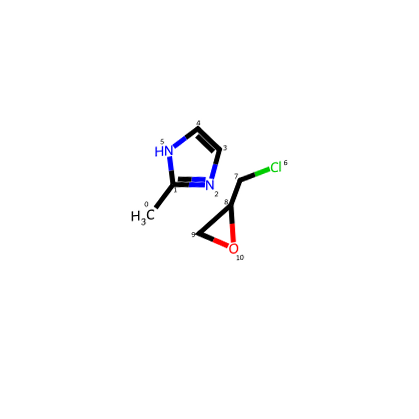 Cc1ncc[nH]1.ClCC1CO1